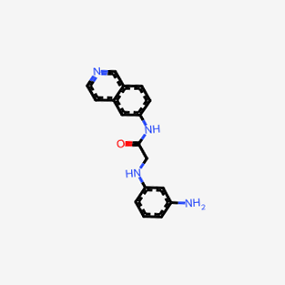 Nc1cccc(NCC(=O)Nc2ccc3cnccc3c2)c1